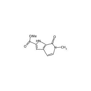 COC(=O)c1cc2ccn(C)c(=O)c2[nH]1